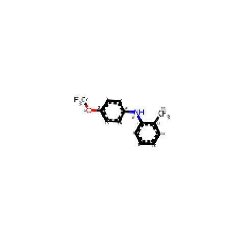 FC(F)(F)Oc1ccc(Nc2ccccc2C(F)(F)F)cc1